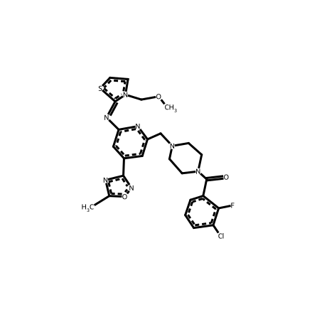 COCn1ccsc1=Nc1cc(-c2noc(C)n2)cc(CN2CCN(C(=O)c3cccc(Cl)c3F)CC2)n1